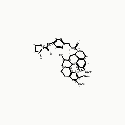 CCC1CN2CCc3cc(OC)c(OC)cc3C2CC1CC1c2cc(OC)c(OC)cc2CCN1C(=O)OCc1ccc(NC(=O)N2CCC[C@H]2C(C)=O)cc1